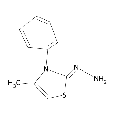 Cc1csc(=NN)n1-c1ccccc1